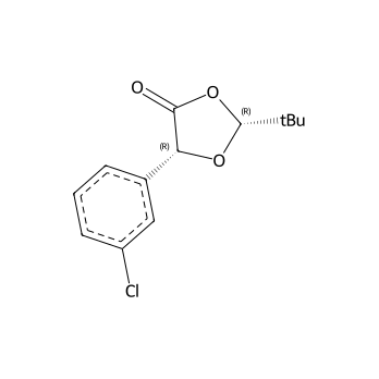 CC(C)(C)[C@H]1OC(=O)[C@@H](c2cccc(Cl)c2)O1